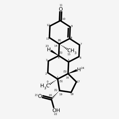 C[C@]12CC[C@H]3C(CCC4=CC(=O)CC[C@@]43C)[C@@H]1CC[C@@H]2C(=O)O